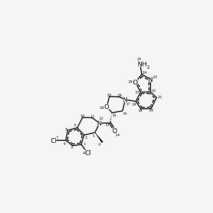 C[C@H]1c2c(Cl)cc(Cl)cc2CCN1C(=O)[C@H]1CN(c2cccc3nc(N)oc23)CCO1